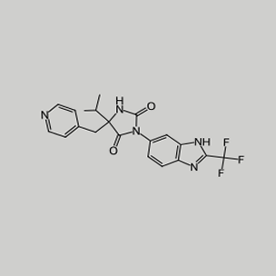 CC(C)C1(Cc2ccncc2)NC(=O)N(c2ccc3nc(C(F)(F)F)[nH]c3c2)C1=O